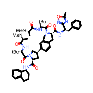 CN[C@@H](C)C(=O)N[C@H](C(=O)N1Cc2cc([C@H]3C[C@@H](C(=O)N[C@@H]4CCCc5ccccc54)N(C(=O)[C@@H](NC(=O)[C@H](C)NC)C(C)(C)C)C3)ccc2C[C@H]1C(=O)N[C@@H](Cc1ccccc1)c1noc(C)n1)C(C)(C)C